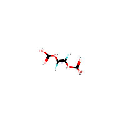 O=C(O)O/C(F)=C(\F)OC(=O)O